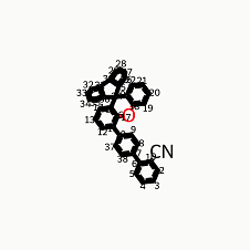 N#Cc1ccccc1-c1ccc(-c2cccc3c2Oc2ccccc2C32c3ccccc3-c3ccccc32)cc1